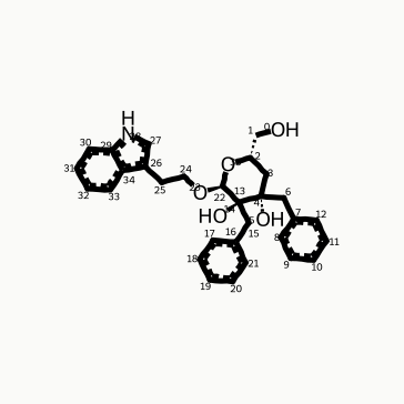 OC[C@@H]1C[C@@](O)(Cc2ccccc2)[C@](O)(Cc2ccccc2)[C@@H](OCCc2c[nH]c3ccccc23)O1